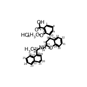 COc1c(C(=O)O)cccc1[C@H]1C[C@H](CN[C@H](C)c2cccc3ccccc23)Oc2ccccc21.Cl